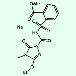 CCOc1nn(C(=O)NS(=O)(=O)c2ccccc2C(=O)OC)c(=O)n1C.[Na]